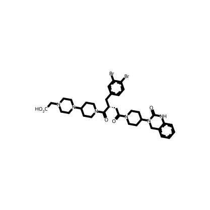 O=C(O)CN1CCN(C2CCN(C(=O)[C@@H](CC(=O)N3CCC(N4Cc5ccccc5NC4=O)CC3)Cc3ccc(Br)c(Br)c3)CC2)CC1